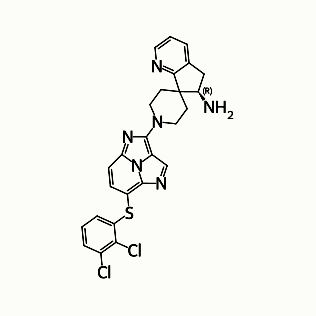 N[C@@H]1Cc2cccnc2C12CCN(c1nc3ccc(Sc4cccc(Cl)c4Cl)c4ncc1n34)CC2